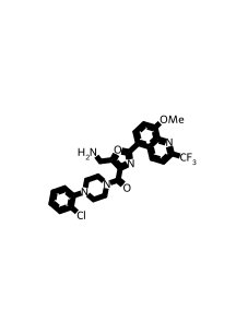 COc1ccc(-c2nc(C(=O)N3CCN(c4ccccc4Cl)CC3)c(CN)o2)c2ccc(C(F)(F)F)nc12